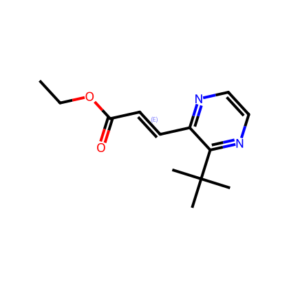 CCOC(=O)/C=C/c1nccnc1C(C)(C)C